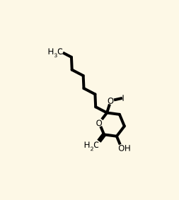 C=C1OC(CCCCCCC)(OI)CCC1O